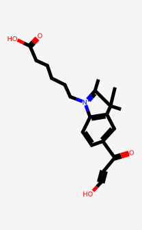 CC1=[N+](CCCCCC(=O)O)c2ccc(C(=O)C#CO)cc2C1(C)C